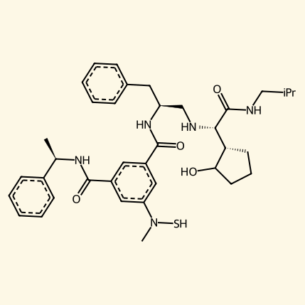 CC(C)CNC(=O)[C@@H](NC[C@H](Cc1ccccc1)NC(=O)c1cc(C(=O)N[C@H](C)c2ccccc2)cc(N(C)S)c1)[C@@H]1CCCC1O